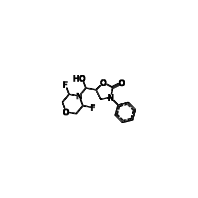 O=C1OC(C(O)N2C(F)COCC2F)CN1c1ccccc1